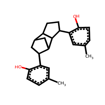 Cc1ccc(O)c(C2CC3CC2C2C(c4cc(C)ccc4O)CCC32)c1